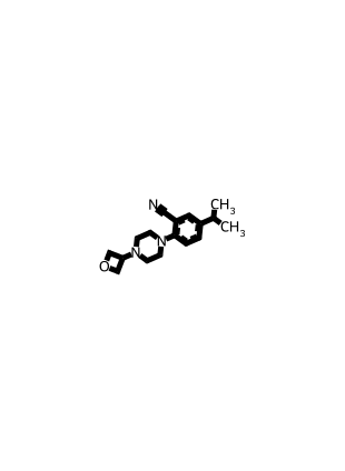 CC(C)c1ccc(N2CCN(C3COC3)CC2)c(C#N)c1